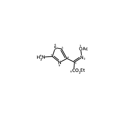 CCOC(=O)/C(=N/OC(C)=O)c1csc(N)n1